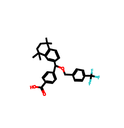 CC1(C)CCC(C)(C)c2cc(C(OCc3ccc(C(F)(F)F)cc3)c3ccc(C(=O)O)cc3)ccc21